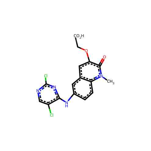 Cn1c(=O)c(OCC(=O)O)cc2cc(Nc3nc(Cl)ncc3Cl)ccc21